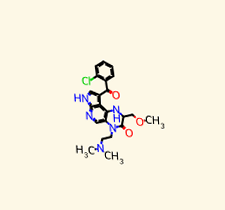 COCC1Nc2c(cnc3[nH]cc(C(=O)c4ccccc4Cl)c23)N(CCN(C)C)C1=O